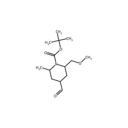 COCC1CC(C=O)CC(C)N1C(=O)OC(C)(C)C